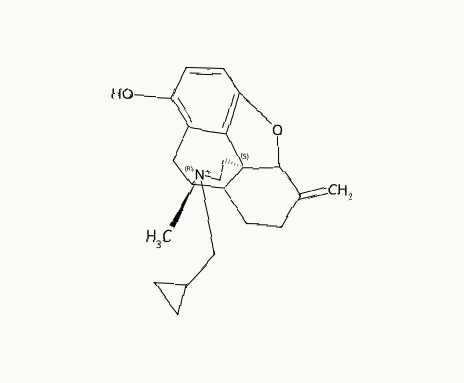 C=C1CCC2C3Cc4c(O)ccc5c4[C@@]2(CC[N@+]3(C)CC2CC2)C1O5